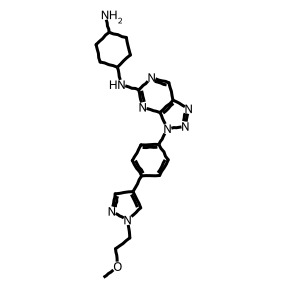 COCCn1cc(-c2ccc(-n3nnc4cnc(NC5CCC(N)CC5)nc43)cc2)cn1